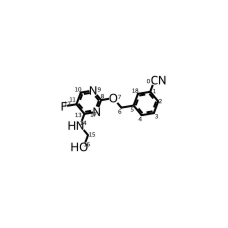 N#Cc1cccc(COc2ncc(F)c(NCO)n2)c1